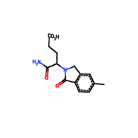 Cc1ccc2c(c1)CN(C(CCC(=O)O)C(N)=O)C2=O